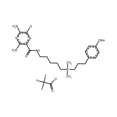 COc1ccc(CCC[N+](C)(C)CCCCCNC(=O)c2nc(Cl)c(N)nc2N)cc1.O=C([O-])C(F)(F)F